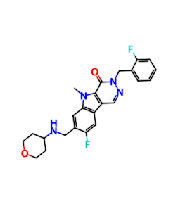 Cn1c2cc(CNC3CCOCC3)c(F)cc2c2cnn(Cc3ccccc3F)c(=O)c21